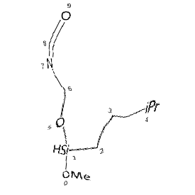 CO[SiH](CCC(C)C)OCN=C=O